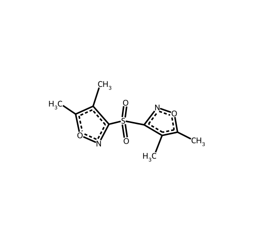 Cc1onc(S(=O)(=O)c2noc(C)c2C)c1C